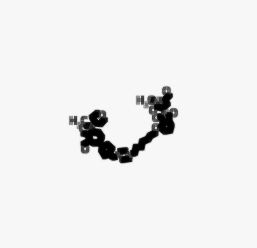 CCC1=C(C=O)C=C(c2ccc(CN3CCN(CCCCCCCOc4cccc5c4C(=O)N(C(CCC=O)C(=O)NC)C5=O)CC3)cc2)CC=C1N(CC)C1CCOCC1